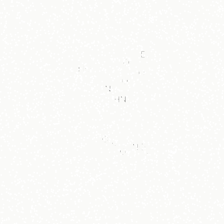 CCC(=O)OCc1cccc(-c2ccc(S(=O)(=O)c3ccccc3)c([N+](=O)[O-])c2)c1NC(=O)N(CCO)CCc1ccccc1